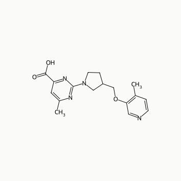 Cc1cc(C(=O)O)nc(N2CCC(COc3cnccc3C)C2)n1